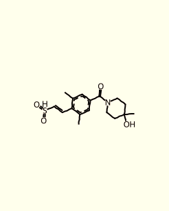 Cc1cc(C(=O)N2CCC(C)(O)CC2)cc(C)c1/C=C/[SH](=O)=O